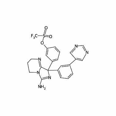 NC1=NC(c2cccc(OS(=O)(=O)C(F)(F)F)c2)(c2cccc(-c3cncnc3)c2)C2=NCCCN12